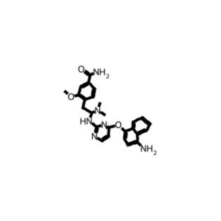 COc1cc(C(N)=O)ccc1CC(Nc1nccc(Oc2ccc(N)c3ccccc23)n1)N(C)C